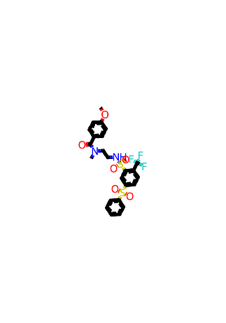 COc1ccc(C(=O)N(C)CCNS(=O)(=O)c2cc(S(=O)(=O)c3ccccc3)ccc2C(F)(F)F)cc1